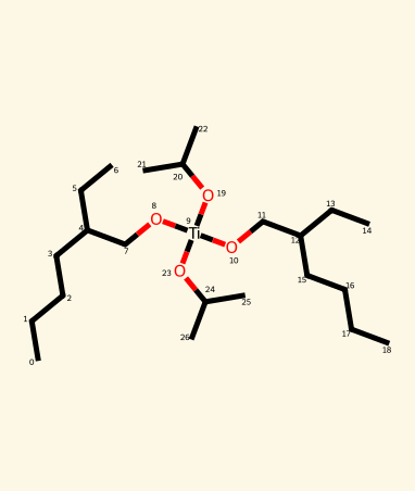 CCCCC(CC)C[O][Ti]([O]CC(CC)CCCC)([O]C(C)C)[O]C(C)C